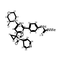 CNC(=S)Nc1ccc(-c2nc(N3CCOC[C@@H]3C)cc(C3(S(=O)(=O)c4ccncc4)CC3)n2)cc1